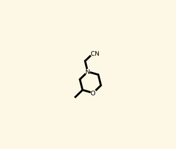 CC1CN(CC#N)CCO1